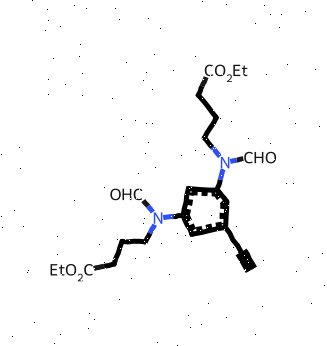 C#Cc1cc(N(C=O)CCCC(=O)OCC)cc(N(C=O)CCCC(=O)OCC)c1